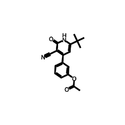 CC(=O)Oc1cccc(-c2cc(C(C)(C)C)[nH]c(=O)c2C#N)c1